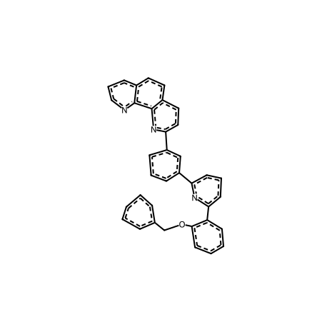 c1ccc(COc2ccccc2-c2cccc(-c3cccc(-c4ccc5ccc6cccnc6c5n4)c3)n2)cc1